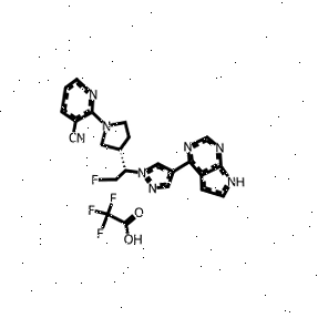 N#Cc1cccnc1N1CC[C@H](C(CF)n2cc(-c3ncnc4[nH]ccc34)cn2)C1.O=C(O)C(F)(F)F